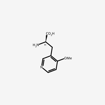 COc1ccncc1C[C@@H](N)C(=O)O